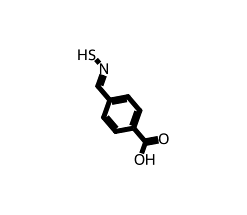 O=C(O)c1ccc(/C=N/S)cc1